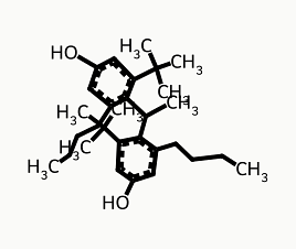 CCCCc1cc(O)cc(C(C)(C)C)c1C(C)c1c(CCCC)cc(O)cc1C(C)(C)C